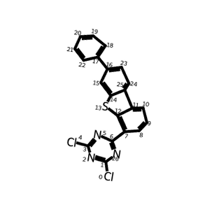 Clc1nc(Cl)nc(-c2cccc3c2sc2cc(-c4ccccc4)ccc23)n1